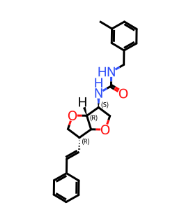 Cc1cccc(CNC(=O)N[C@H]2COC3[C@H](C=Cc4ccccc4)CO[C@@H]32)c1